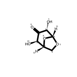 O=C1[C@H](O)[C@@H]2OC[C@@H](O2)[C@H]1O